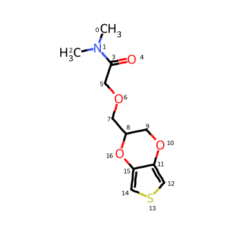 CN(C)C(=O)COCC1COc2cscc2O1